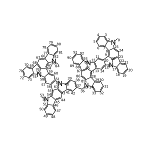 Cn1c2ccccc2c2c3c4cc5c(cc4n4c6ccccc6c(cc21)c34)c1c2c3ccccc3n(Cc3ccc4c(c3)c3cc6c7ccccc7n(C)c6c6c7cc8c(cc7n4c36)c3c4c(cc6c7ccccc7n8c63)c3ccccc3n4C)c2cc2c3ccccc3n5c21